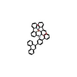 c1ccc(-c2ccc(-c3cc4ccccc4c4ccccc34)cc2N(c2cccc3c2sc2ccccc23)c2cccc3c2sc2ccccc23)cc1